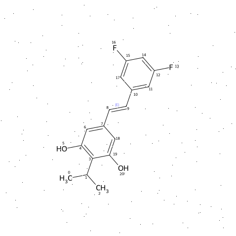 CC(C)c1c(O)cc(/C=C/c2cc(F)cc(F)c2)cc1O